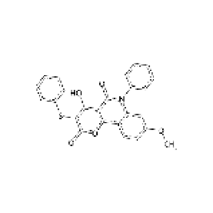 COc1ccc2c3oc(=O)c(Sc4ccccc4)c(O)c3c(=O)n(-c3ccccc3)c2c1